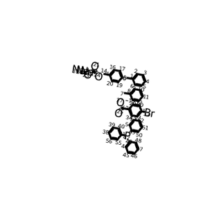 Cc1ccccc1.Cc1ccccc1.Cc1ccccc1.O=C([O-])[O-].O=C([O-])c1ccc(Br)cc1.[Na+].[Na+].[Na+].c1ccc(P(c2ccccc2)c2ccccc2)cc1